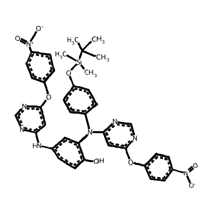 CC(C)(C)[Si](C)(C)Oc1ccc(N(c2cc(Oc3ccc([N+](=O)[O-])cc3)ncn2)c2cc(Nc3cc(Oc4ccc([N+](=O)[O-])cc4)ncn3)ccc2O)cc1